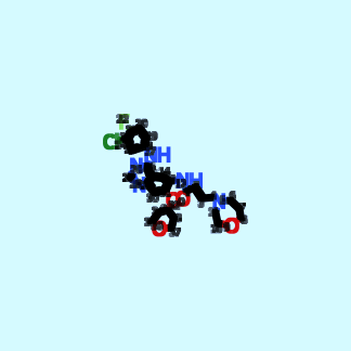 O=C(/C=C/CN1CCCOCC1)Nc1cc2c(Nc3ccc(F)c(Cl)c3)ncnc2cc1OC1CCOCC1